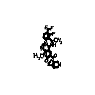 C[C@@H](Nc1ncnc2c1cc(C(=O)N1CCc3ccncc31)c(=O)n2C)c1cccc(C(F)F)c1F